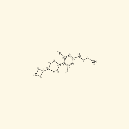 OCCNc1cc(F)c(N2CCC(C3COC3)CC2)c(F)c1